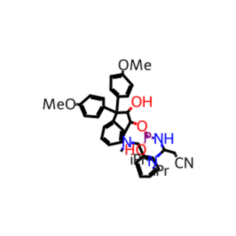 COc1ccc(C(c2ccccc2)(c2ccc(OC)cc2)C(O)C(CN(C)Cc2ccccc2)OP(O)NC(CC#N)N(C(C)C)C(C)C)cc1